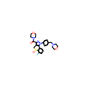 O=C(c1nn(-c2ccc(CN3CCOCC3)cc2)c2c1C[S+]([O-])c1c(F)cccc1-2)N1CCOCC1